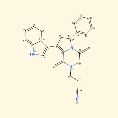 C=C1C2=C(c3c[nH]c4ccccc34)C[C@H](c3ccccc3)N2C(=C)CN1CCC#N